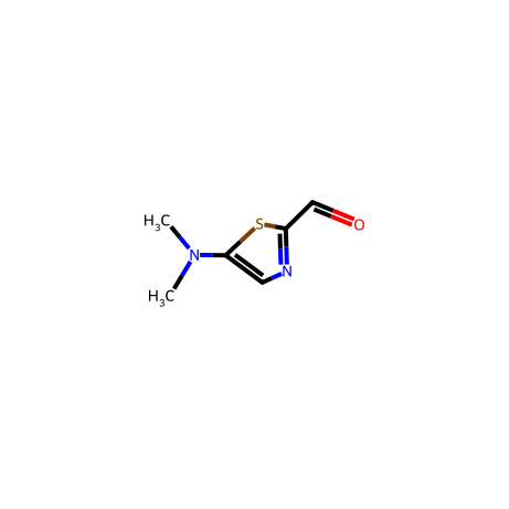 CN(C)c1cnc(C=O)s1